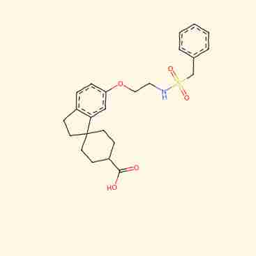 O=C(O)C1CCC2(CCc3ccc(OCCNS(=O)(=O)Cc4ccccc4)cc32)CC1